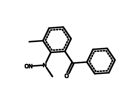 Cc1cccc(C(=O)c2ccccc2)c1N(C)N=O